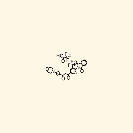 O=C(CC(=O)C12CC(N3CCOCC3)(C1)C2)c1cnc(N2C(=O)c3ccccc3C2=O)c(C(F)(F)F)c1.O=C(O)C(F)(F)F